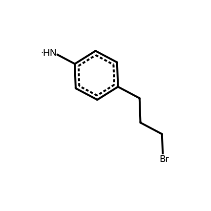 [NH]c1ccc(CCCBr)cc1